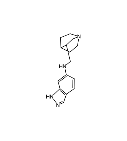 c1cc2cn[nH]c2cc1NCC1CN2CCC1CC2